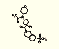 CC(C)[C@]1(C(=O)N2CCc3ccc(S(C)(=O)=O)cc3C2)CC[C@@H](N(C(=O)C(F)(F)F)C2CCOCC2)C1